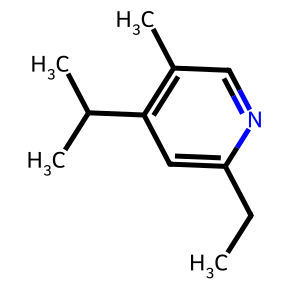 CCc1cc(C(C)C)c(C)cn1